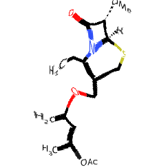 C=C(/C=C(\C)OC(C)=O)OCC1=C(C)N2C(=O)[C@H](OC)[C@H]2SC1